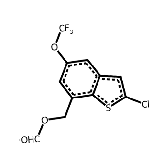 O=[C]OCc1cc(OC(F)(F)F)cc2cc(Cl)sc12